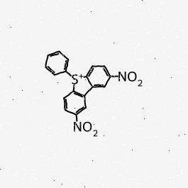 O=[N+]([O-])c1ccc2c(c1)c1cc([N+](=O)[O-])ccc1[s+]2-c1ccccc1